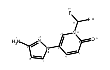 Nc1ccn(-c2ccc(=O)n(C(F)F)c2)n1